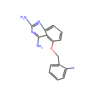 Nc1nc(N)c2c(OCc3ccccc3I)cccc2n1